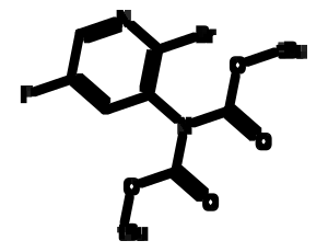 CC(C)(C)OC(=O)N(C(=O)OC(C)(C)C)c1cc(F)cnc1Br